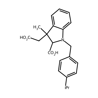 CC(C)c1ccc(CN2c3ccccc3C(C)(CC(=O)O)C2C(=O)O)cc1